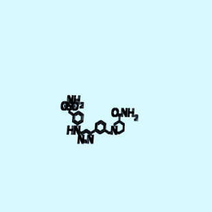 NC(=O)C1CCCN(Cc2cccc(-c3cc(Nc4cccc(CS(N)(=O)=O)c4)ncn3)c2)C1